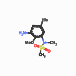 COc1c(N)cc(C(C)(C)C)cc1N(C)S(C)(=O)=O